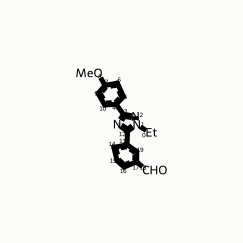 CCn1nc(-c2ccc(OC)cc2)nc1-c1cccc(C=O)c1